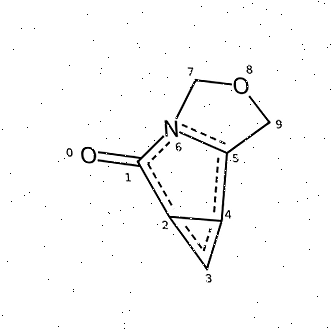 O=c1c2cc-2c2n1COC2